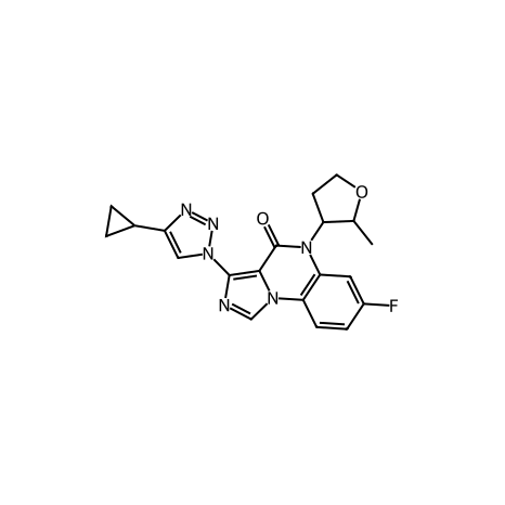 CC1OCCC1n1c(=O)c2c(-n3cc(C4CC4)nn3)ncn2c2ccc(F)cc21